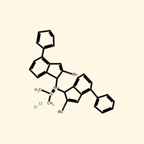 CCC(C)C1=Cc2c(-c3ccccc3)cccc2[CH]1[Zr+2]([CH]1C(C(C)CC)=Cc2c(-c3ccccc3)cccc21)=[Si](C)C.[Cl-].[Cl-]